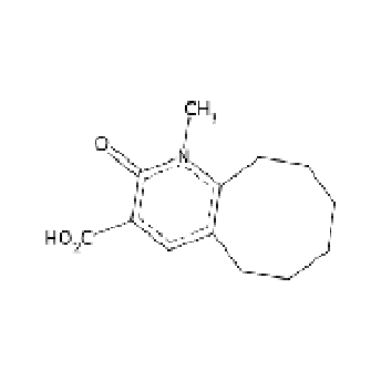 Cn1c2c(cc(C(=O)O)c1=O)CCCCCC2